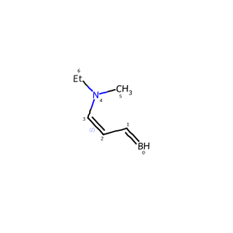 B=C/C=C\N(C)CC